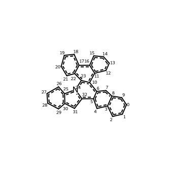 c1ccc2cc3c(cc2c1)c1c2ccccc2c2ccccc2c1n1c2ccccc2cc31